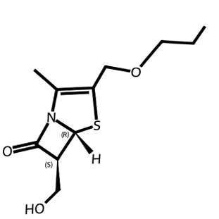 CCCOCC1=C(C)N2C(=O)[C@H](CO)[C@H]2S1